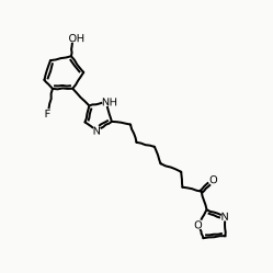 O=C(CCCCCCc1ncc(-c2cc(O)ccc2F)[nH]1)c1ncco1